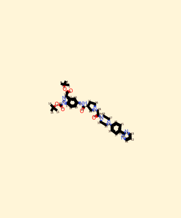 CC(C)(C)OC(=O)c1nn(C(=O)OC(C)(C)C)c2ccc(NC(=O)[C@@H]3CCN(CC(=O)N4CCN(c5ccc(-c6ncccn6)cc5)CC4)C3)cc12